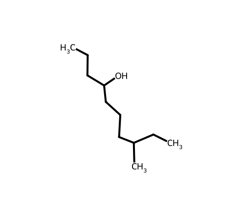 CCCC(O)CCCC(C)CC